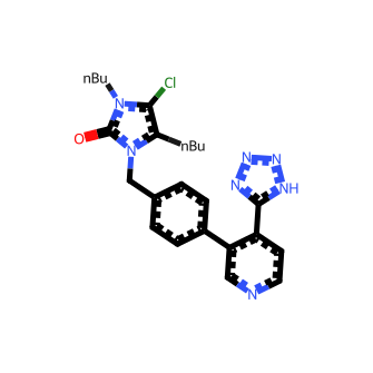 CCCCc1c(Cl)n(CCCC)c(=O)n1Cc1ccc(-c2cnccc2-c2nnn[nH]2)cc1